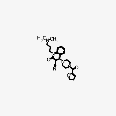 CN(C)CCCn1c(=O)c(C#N)c(N2CCN(C(=O)C3=CCCO3)CC2)c2ccccc21